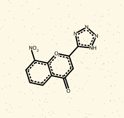 O=c1cc(-c2nnn[nH]2)oc2c([N+](=O)[O-])cccc12